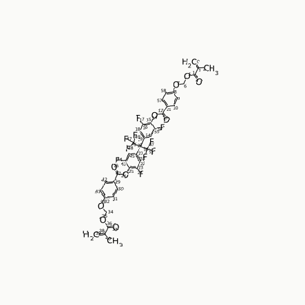 C=C(C)C(=O)OCOc1ccc(C(=O)Oc2c(F)cc(C(c3cc(F)c(OC(=O)c4ccc(OCOC(=O)C(=C)C)cc4)c(F)c3)(C(F)(F)F)C(F)(F)F)cc2F)cc1